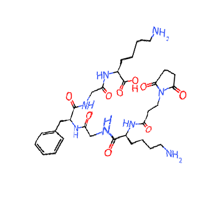 NCCCC[C@H](NC(=O)CNC(=O)[C@H](Cc1ccccc1)NC(=O)CNC(=O)[C@H](CCCCN)NC(=O)CCN1C(=O)CCC1=O)C(=O)O